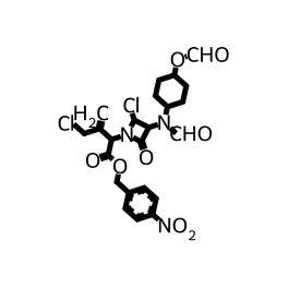 C=C(CCl)C(C(=O)OCc1ccc([N+](=O)[O-])cc1)N1C(=O)C(N(C=O)C2CCC(OC=O)CC2)C1Cl